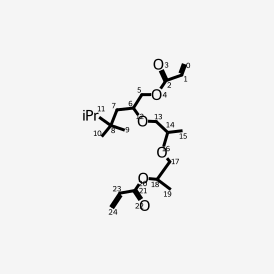 C=CC(=O)OCC(CC(C)(C)C(C)C)OCC(C)OCC(C)OC(=O)C=C